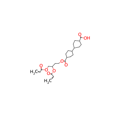 C=CC(=O)OCC(CCOC(=O)C1CCC(C2CCC(C(=O)O)CC2)CC1)OC(=O)C=C